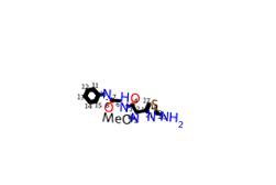 CON=C(C(=O)NCC(=O)[N]c1ccccc1)c1csc(N)n1